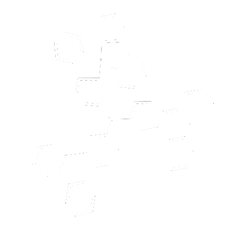 c1ccc(-c2ccccc2-c2cccc(N(c3ccc4c(c3)C3(c5ccccc5-c5ccccc53)c3ccccc3-4)c3ccc4c5ccccc5c5ccccc5c4c3)c2)cc1